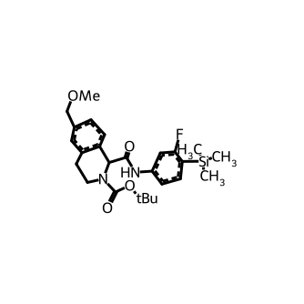 COCc1ccc2c(c1)CCN(C(=O)OC(C)(C)C)C2C(=O)Nc1ccc([Si](C)(C)C)c(F)c1